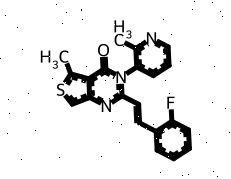 Cc1ncccc1-n1c(C=Cc2ccccc2F)nc2csc(C)c2c1=O